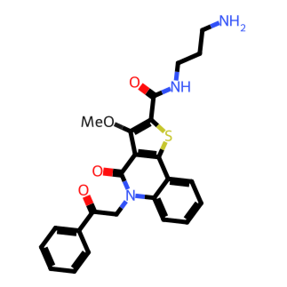 COc1c(C(=O)NCCCN)sc2c1c(=O)n(CC(=O)c1ccccc1)c1ccccc21